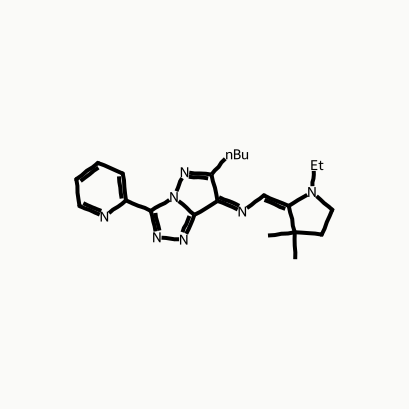 CCCCC1=Nn2c(nnc2-c2ccccn2)/C1=N/C=C1N(CC)CCC1(C)C